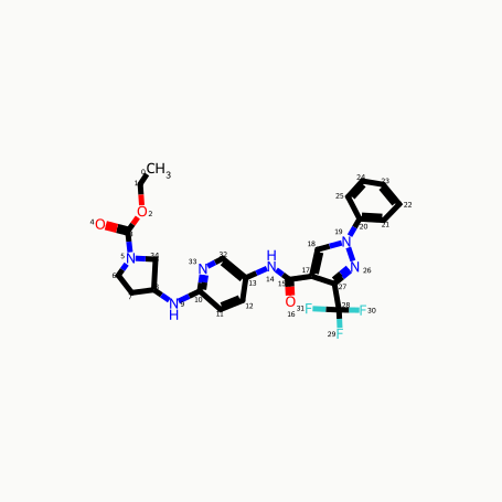 CCOC(=O)N1CCC(Nc2ccc(NC(=O)c3cn(-c4ccccc4)nc3C(F)(F)F)cn2)C1